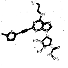 CCCNc1nc(C#Cc2ccc(Cl)s2)nc2c1ncn2[C@@H]1C[C@H](C(=O)NC)[C@@H](O)[C@H]1O